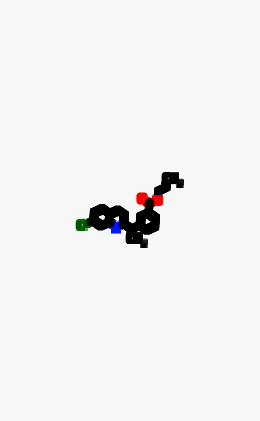 C=CCOC(=O)c1cccc(C(=C)c2ccc3ccc(Cl)cc3n2)c1